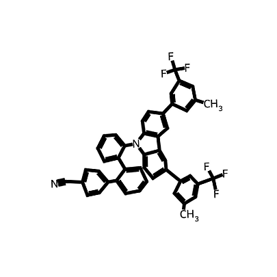 Cc1cc(-c2ccc3c(c2)c2cc(-c4cc(C)cc(C(F)(F)F)c4)ccc2n3-c2ccccc2-c2ccccc2-c2ccc(C#N)cc2)cc(C(F)(F)F)c1